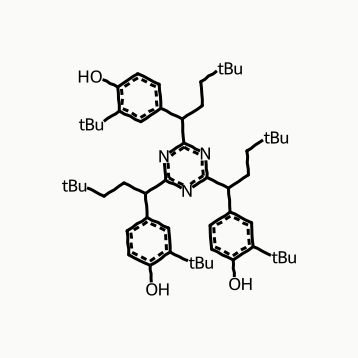 CC(C)(C)CCC(c1ccc(O)c(C(C)(C)C)c1)c1nc(C(CCC(C)(C)C)c2ccc(O)c(C(C)(C)C)c2)nc(C(CCC(C)(C)C)c2ccc(O)c(C(C)(C)C)c2)n1